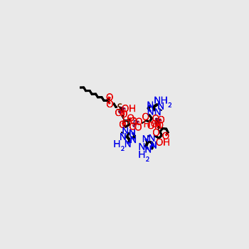 CCCCCCCCCC(=O)OCCSP(=O)(O)OC[C@H]1O[C@@H](n2cnc3c(N)ncnc32)[C@@H](OP(=O)(O)OC[C@H]2O[C@@H](n3cnc4c(N)ncnc43)[C@@H](OP(=O)(O)OC[C@]34CCCOC3[C@H](O)[C@H](n3cnc5c(N)ncnc53)O4)C2O)C1OC